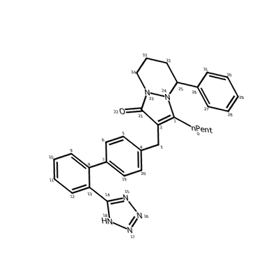 CCCCCc1c(Cc2ccc(-c3ccccc3-c3nnn[nH]3)cc2)c(=O)n2n1C(c1ccccc1)CCC2